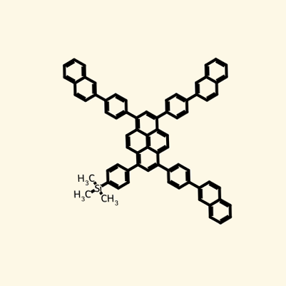 C[Si](C)(C)c1ccc(-c2cc(-c3ccc(-c4ccc5ccccc5c4)cc3)c3ccc4c(-c5ccc(-c6ccc7ccccc7c6)cc5)cc(-c5ccc(-c6ccc7ccccc7c6)cc5)c5ccc2c3c45)cc1